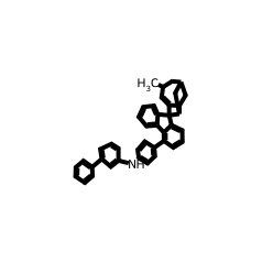 CC1C=C2C3CC(C1)CC3C21c2ccccc2-c2c(-c3ccc(Nc4cccc(-c5ccccc5)c4)cc3)cccc21